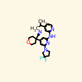 CC(C)c1ccnc(Nc2cc(C3(C#N)CCOCC3)cc(N3CCC(F)(F)C3)n2)c1